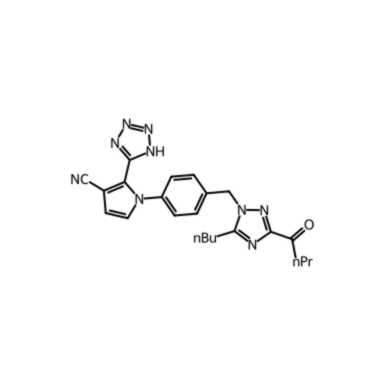 CCCCc1nc(C(=O)CCC)nn1Cc1ccc(-n2ccc(C#N)c2-c2nnn[nH]2)cc1